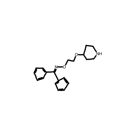 c1ccc(C(=NOCCOC2CCNCC2)c2ccccc2)cc1